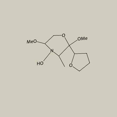 COC1COC(OC)(C2CCCO2)C(C)N1O